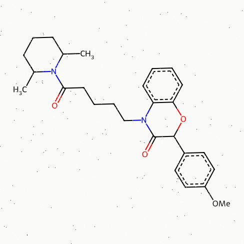 COc1ccc(C2Oc3ccccc3N(CCCCC(=O)N3C(C)CCCC3C)C2=O)cc1